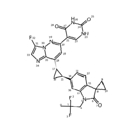 CC(F)(F)CN1C(=O)C2(CC2)c2ccc([C@H]3C[C@@H]3c3cc(-c4c[nH]c(=O)[nH]c4=O)nn4c(F)cnc34)cc21